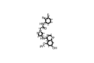 CC(C)Oc1cc(O)cc2ncnc(Nc3cnn(CC(=O)Nc4cccc(F)c4F)c3)c12